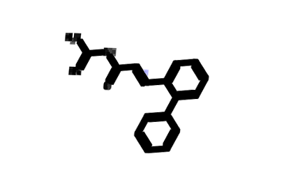 N=C(N)NC(=O)/C=C/c1ccccc1-c1ccccc1